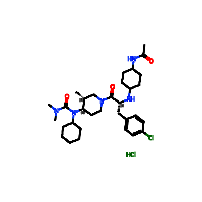 CC(=O)NC1CCC(N[C@H](Cc2ccc(Cl)cc2)C(=O)N2CC[C@@H](N(C(=O)N(C)C)C3CCCCC3)[C@H](C)C2)CC1.Cl